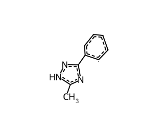 Cc1nc(-c2[c]cccc2)n[nH]1